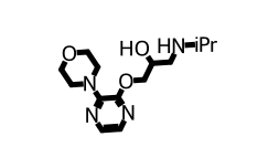 CC(C)NCC(O)COc1nccnc1N1CCOCC1